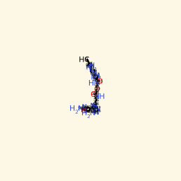 C#Cc1cnc(N2CCN(c3ncc(C(=O)NCCOCCC(=O)NCCCCn4nc(-c5ccc6oc(N)nc6c5)c5c(N)ncnc54)cn3)CC2)nc1